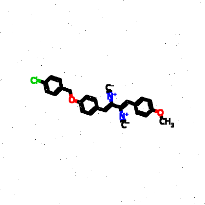 [C-]#[N+]C(=C\c1ccc(OC)cc1)/C(=C/c1ccc(OCc2ccc(Cl)cc2)cc1)[N+]#[C-]